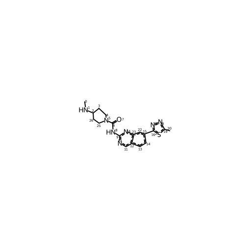 CNC1CCN(C(=O)Nc2ncc3ccc(-c4nnc(C)s4)cc3n2)CC1